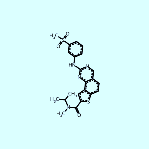 CC(C)N(C)C(=O)c1cc2c(ccc3cnc(Nc4cccc(S(C)(=O)=O)c4)nc32)s1